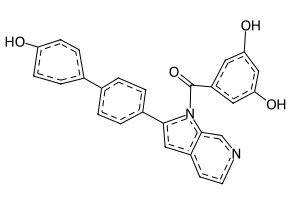 O=C(c1cc(O)cc(O)c1)n1c(-c2ccc(-c3ccc(O)cc3)cc2)cc2ccncc21